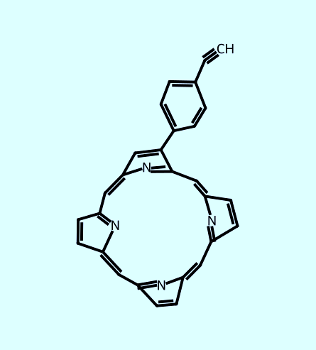 C#Cc1ccc(C2=CC3=CC4=NC(=CC5=NC(=CC6=NC(=CC2=N3)C=C6)C=C5)C=C4)cc1